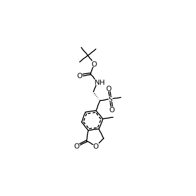 Cc1c([C@H](CNC(=O)OC(C)(C)C)S(C)(=O)=O)ccc2c1COC2=O